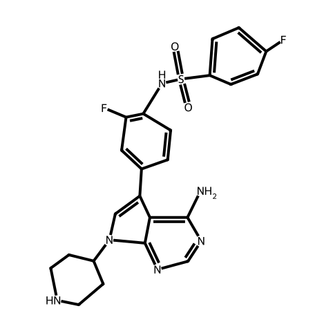 Nc1ncnc2c1c(-c1ccc(NS(=O)(=O)c3ccc(F)cc3)c(F)c1)cn2C1CCNCC1